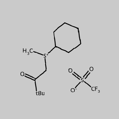 C[S+](CC(=O)C(C)(C)C)C1CCCCC1.O=S(=O)([O-])C(F)(F)F